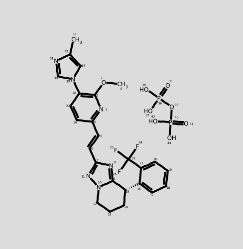 COc1nc(C=Cc2nc3n(n2)CCC[C@H]3c2ccccc2C(F)(F)F)ccc1-n1cnc(C)c1.O=P(O)(O)OP(=O)(O)O